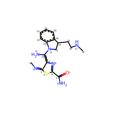 C/N=C1/SC(C(N)=O)=N/C1=C(/N)N1CC(CCNC)c2ccccc21